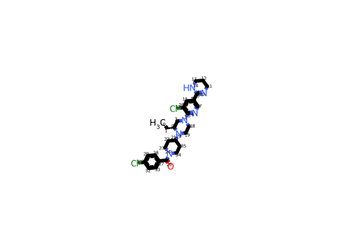 CC[C@H]1CN(c2ncc(C3=NCCCN3)cc2Cl)CCN1C1CCN(C(=O)c2ccc(Cl)cc2)CC1